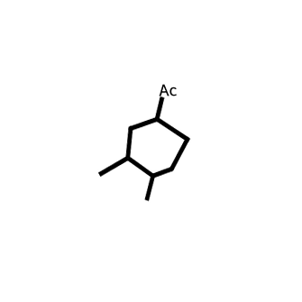 CC(=O)C1CCC(C)C(C)C1